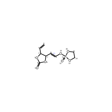 C=CC1OC(=O)OC1/C=C/OP1(=O)OCCO1